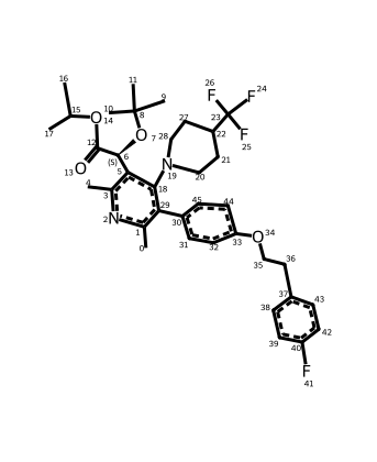 Cc1nc(C)c([C@H](OC(C)(C)C)C(=O)OC(C)C)c(N2CCC(C(F)(F)F)CC2)c1-c1ccc(OCCc2ccc(F)cc2)cc1